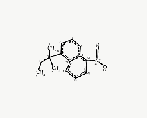 CCC(C)(C)c1cccc2c([N+](=O)[O-])cccc12